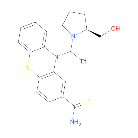 CCC(N1c2ccccc2Sc2ccc(C(N)=S)cc21)N1CCC[C@H]1CO